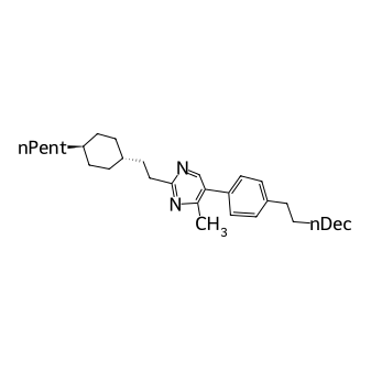 CCCCCCCCCCCCc1ccc(-c2cnc(CC[C@H]3CC[C@H](CCCCC)CC3)nc2C)cc1